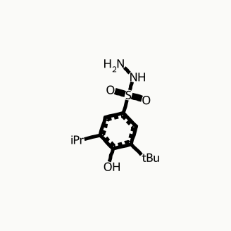 CC(C)c1cc(S(=O)(=O)NN)cc(C(C)(C)C)c1O